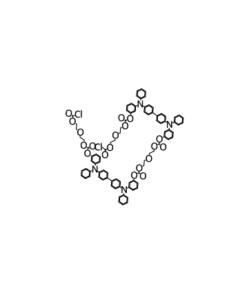 O=C(Cl)OCCOCCOC(=O)Oc1cccc(N(c2ccccc2)c2ccc(-c3ccc(N(c4ccccc4)c4cccc(OC(=O)OCCOCCOC(=O)Oc5cccc(N(c6ccccc6)c6ccc(-c7ccc(N(c8ccccc8)c8cccc(OC(=O)OCCOCCOC(=O)Cl)c8)cc7)cc6)c5)c4)cc3)cc2)c1